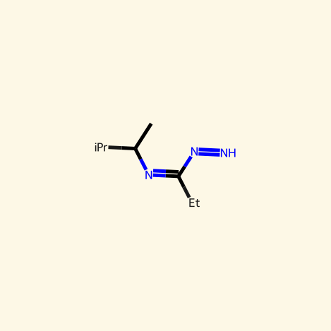 CC/C(N=N)=N/C(C)C(C)C